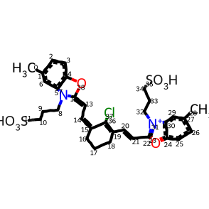 Cc1ccc2c(c1)N(CCCS(=O)(=O)O)C(=CC=C1CCCC(C=Cc3oc4ccc(C)cc4[n+]3CCCS(=O)(=O)O)=C1Cl)O2